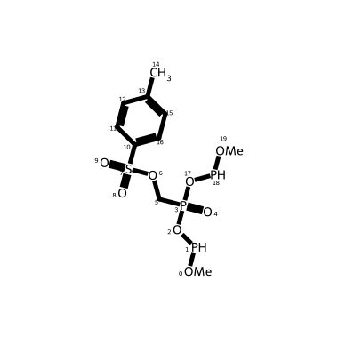 COPOP(=O)(COS(=O)(=O)c1ccc(C)cc1)OPOC